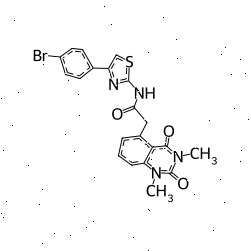 Cn1c(=O)c2c(CC(=O)Nc3nc(-c4ccc(Br)cc4)cs3)cccc2n(C)c1=O